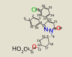 Cc1ccc(-c2nn(C[C@H]3CC[C@@H](COCC(=O)O)CC3)c(=O)cc2-c2cccc(Cl)c2)cc1